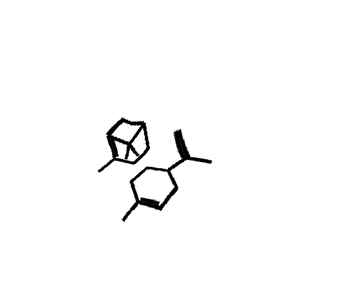 C=C(C)C1CC=C(C)CC1.CC1=C2CC(CC1)C2(C)C